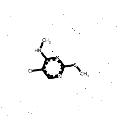 CNc1nc(SC)ncc1Cl